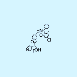 Cc1cc(Cl)ccc1C(NC(=O)Cc1ccc2oc(C(CO)c3ccncc3F)cc2c1)c1ccccc1